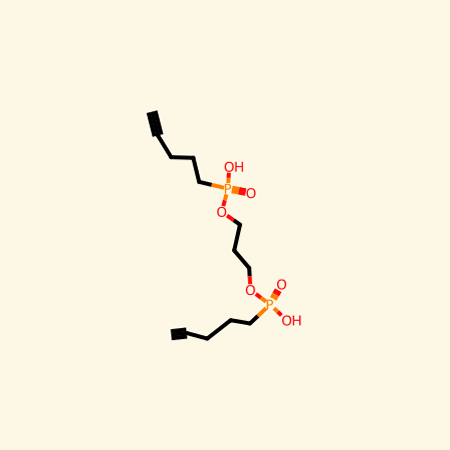 C#CCCCP(=O)(O)OCCCOP(=O)(O)CCCC#C